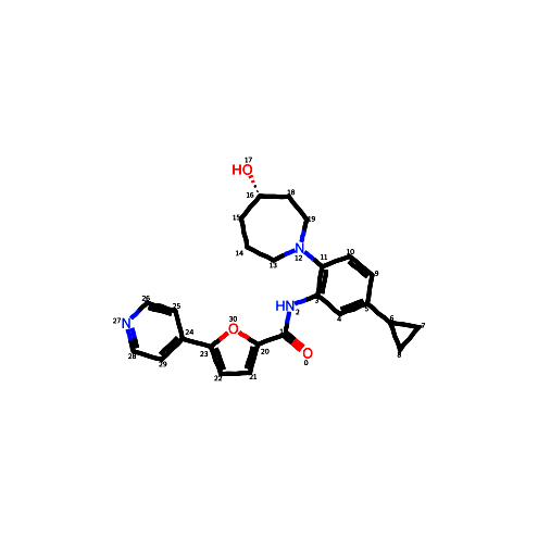 O=C(Nc1cc(C2CC2)ccc1N1CCC[C@H](O)CC1)c1ccc(-c2ccncc2)o1